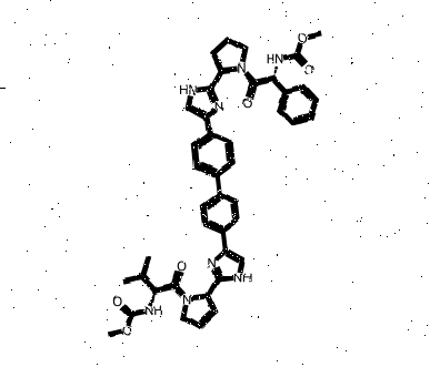 COC(=O)N[C@H](C(=O)N1CC=CC1c1nc(-c2ccc(-c3ccc(-c4c[nH]c(C5CCCN5C(=O)[C@H](NC(=O)OC)c5ccccc5)n4)cc3)cc2)c[nH]1)C(C)C